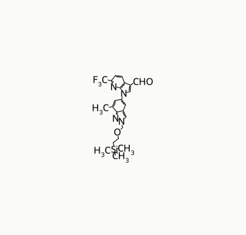 Cc1cc(-n2cc(C=O)c3ccc(C(F)(F)F)nc32)cc2cn(COCC[Si](C)(C)C)nc12